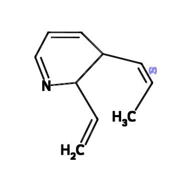 C=CC1N=CC=CC1/C=C\C